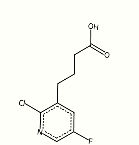 O=C(O)CCCc1cc(F)cnc1Cl